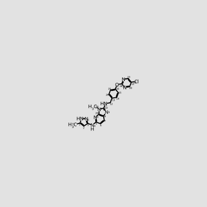 Cc1cc(Nc2ccc3nc(NCc4ccc(Oc5ncc(Cl)cn5)cc4)n(C)c3n2)n[nH]1